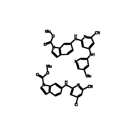 CC(C)(C)OC(=O)n1ccc2ccc(Nc3cc(Cl)cc(C#N)n3)cc21.CC(C)(C)OC(=O)n1ccc2ccc(Nc3cc(Nc4cncc(C(C)(C)C)c4)cc(C#N)n3)cc21